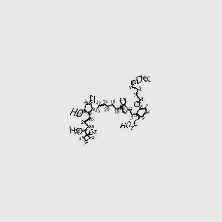 CCCCCCCCCCCCCCOc1cccc(C(=O)O)c1CCOC(=O)CCC/C=C\C[C@@H]1[C@@H](/C=C/C[C@H](O)C2(CC)CCC2)[C@H](O)C[C@H]1Cl